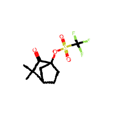 CC1(C)C(=O)C2(OS(=O)(=O)C(F)(F)F)CCC1C2